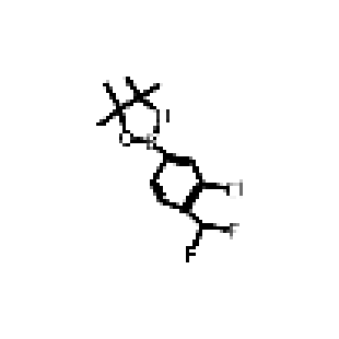 CC1(C)OB(c2ccc(C(F)F)c(Cl)c2)OC1(C)C